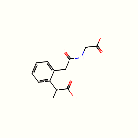 CC(C(=O)O)c1ccccc1CC(=O)NCC(=O)O